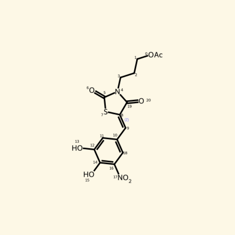 CC(=O)OCCCN1C(=O)S/C(=C\c2cc(O)c(O)c([N+](=O)[O-])c2)C1=O